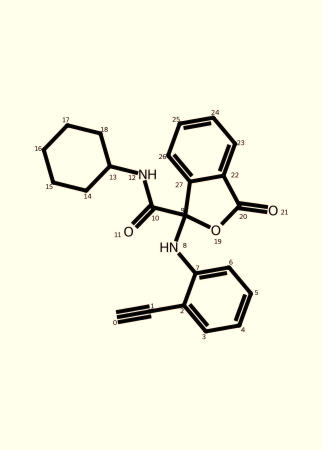 C#Cc1ccccc1NC1(C(=O)NC2CCCCC2)OC(=O)c2ccccc21